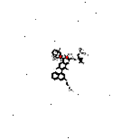 COCOc1cc(-c2c(Cl)cc3c(N4C[C@H]5CC[C@@](C)(C4)N5C(=O)OC(C)(C)C)nc(OC[C@]4(CN(C)C)CC4(F)F)nc3c2F)c2ccccc2c1